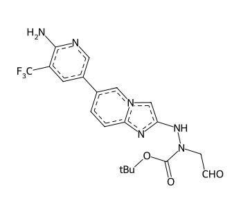 CC(C)(C)OC(=O)N(CC=O)Nc1cn2cc(-c3cnc(N)c(C(F)(F)F)c3)ccc2n1